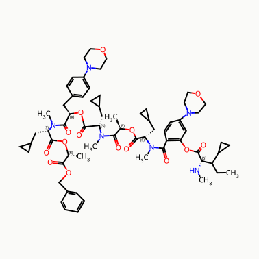 CCC(C1CC1)[C@H](NC)C(=O)Oc1cc(N2CCOCC2)ccc1C(=O)N(C)[C@@H](CC1CC1)C(=O)O[C@H](C)C(=O)N(C)[C@@H](CC1CC1)C(=O)O[C@H](Cc1ccc(N2CCOCC2)cc1)C(=O)N(C)[C@@H](CC1CC1)C(=O)O[C@H](C)C(=O)OCc1ccccc1